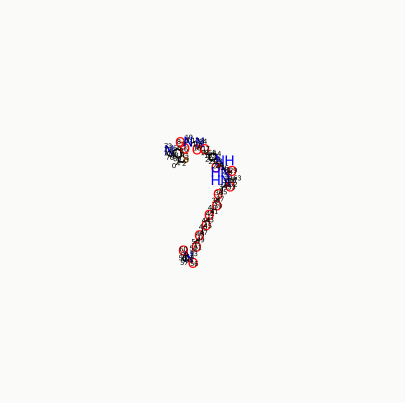 Cc1csc2c(OC(=O)N(C)CCN(C)C(=O)OCc3ccc(NC(=O)CNC(=O)C(NC(=O)CCOCCOCCOCCOCCOCCOCCN4C(=O)C=CC4=O)C(C)C)cc3)cc3c(c12)CCN3C